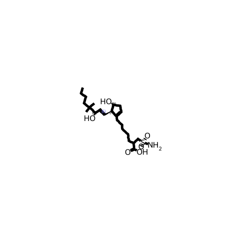 CCCCC(C)(C)[C@H](O)/C=C/[C@@H]1C(CCCCCC(CS(N)(=O)=O)C(=O)O)=CC[C@H]1O